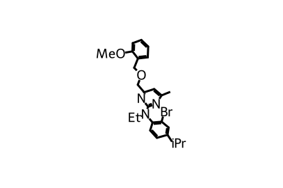 CCN(c1nc(C)cc(COCc2ccccc2OC)n1)c1ccc(C(C)C)cc1Br